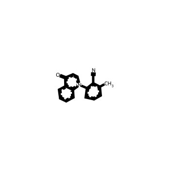 Cc1cccc(-n2ccc(=O)c3ccccc32)c1C#N